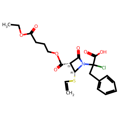 C=CS[C@@H]1[C@H](C(=O)OCCCC(=O)OCC)C(=O)N1C(Cl)(Cc1ccccc1)C(=O)O